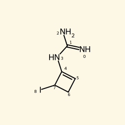 N=C(N)NC1=CCC1I